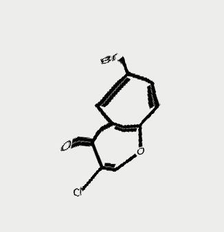 O=c1c(Cl)coc2ccc(Br)cc12